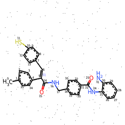 Cc1ccc(/C(=C\c2ccc(S)cc2)C(=O)NCc2ccc(C(=O)Nc3ccccc3N)cc2)cc1